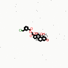 CC1=CC(=O)C=C2CC[C@@H]3[C@H](C(O)C[C@@]4(C)[C@H]3CC[C@]4(O)C(=O)COC(=O)c3cccc(CCl)c3)[C@@]12C